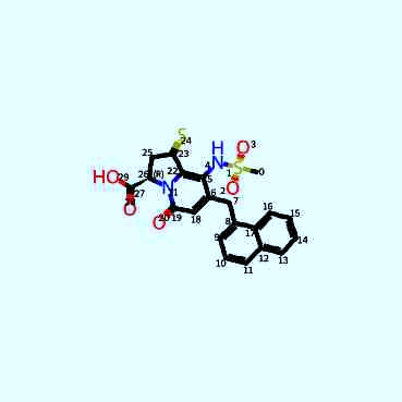 CS(=O)(=O)Nc1c(Cc2cccc3ccccc23)cc(=O)n2c1C(=S)C[C@@H]2C(=O)O